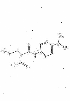 CCCC(C(C)=O)C(=O)Nc1ccc(C(C)C)cc1